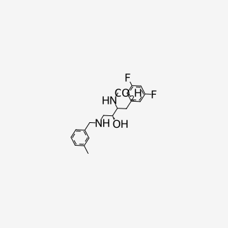 Cc1cccc(CNC[C@H](O)C(Cc2cc(F)cc(F)c2)NC(=O)O)c1